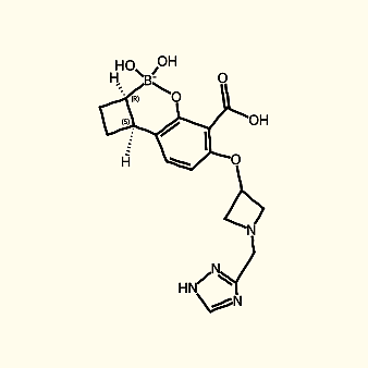 O=C(O)c1c(OC2CN(Cc3nc[nH]n3)C2)ccc2c1O[B-](O)(O)[C@@H]1CC[C@H]21